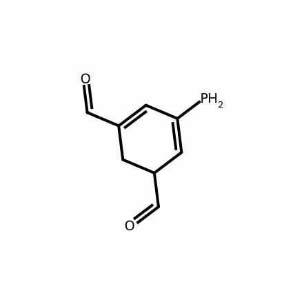 O=CC1=CC(P)=CC(C=O)C1